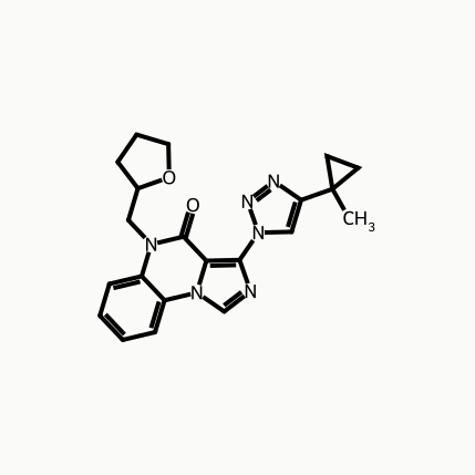 CC1(c2cn(-c3ncn4c3c(=O)n(CC3CCCO3)c3ccccc34)nn2)CC1